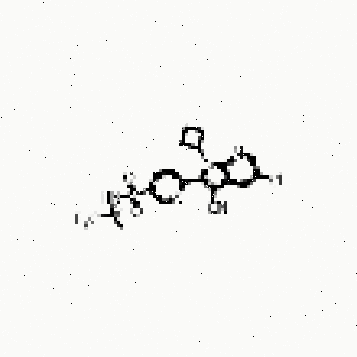 C[C@H](NS(=O)(=O)c1ccc(-c2c(C#N)c3cc(Cl)cnc3n2C2CCC2)nc1)C(F)(F)F